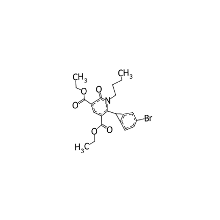 CCCCn1c(C2c3ccc(Br)cc32)c(C(=O)OCC)cc(C(=O)OCC)c1=O